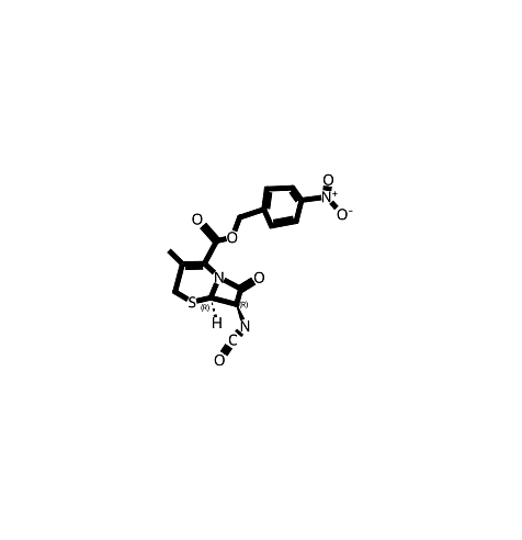 CC1=C(C(=O)OCc2ccc([N+](=O)[O-])cc2)N2C(=O)[C@@H](N=C=O)[C@H]2SC1